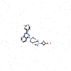 OC1CC(N2CCC3(CCN(c4nc(-c5ccncc5)nc5cnccc45)CC3)C2)C1